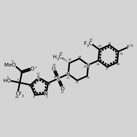 COC(=O)C(O)(c1cnc(S(=O)(=O)N2CCN(c3ccc(F)cc3C(F)(F)F)C[C@H]2C)s1)C(F)(F)F